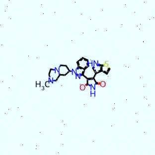 CN1CCN2CCC(n3nc(C4=C(c5c[nH]c6sccc56)C(=O)NC4=O)c4ccccc43)CC2C1